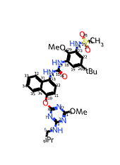 COc1nc(NCC(C)C)nc(Oc2ccc(NC(=O)Nc3cc(C(C)(C)C)cc(NS(C)(=O)=O)c3OC)c3ccccc23)n1